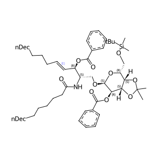 CCCCCCCCCCCCC/C=C/[C@@H](OC(=O)c1ccccc1)[C@H](CO[C@H]1O[C@H](CO[Si](C)(C)C(C)(C)C)[C@@H]2OC(C)(C)O[C@@H]2[C@H]1OC(=O)c1ccccc1)NC(=O)CCCCCCCCCCCCCCC